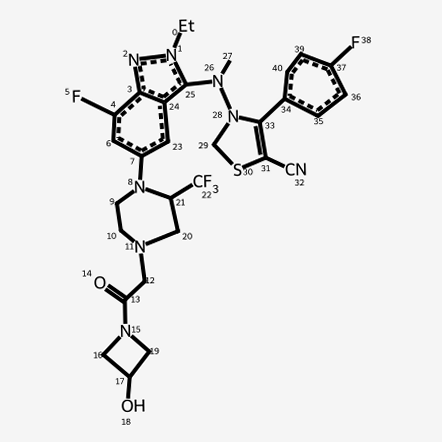 CCn1nc2c(F)cc(N3CCN(CC(=O)N4CC(O)C4)CC3C(F)(F)F)cc2c1N(C)N1CSC(C#N)=C1c1ccc(F)cc1